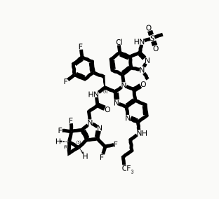 Cn1nc(NS(C)(=O)=O)c2c(Cl)ccc(-n3c([C@H](Cc4cc(F)cc(F)c4)NC(=O)Cn4nc(C(F)F)c5c4C(F)(F)[C@@H]4C[C@H]54)nc4nc(NCCCC(F)(F)F)ccc4c3=O)c21